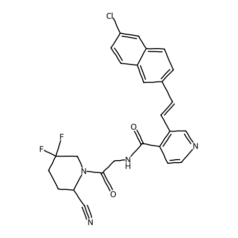 N#CC1CCC(F)(F)CN1C(=O)CNC(=O)c1ccncc1C=Cc1ccc2cc(Cl)ccc2c1